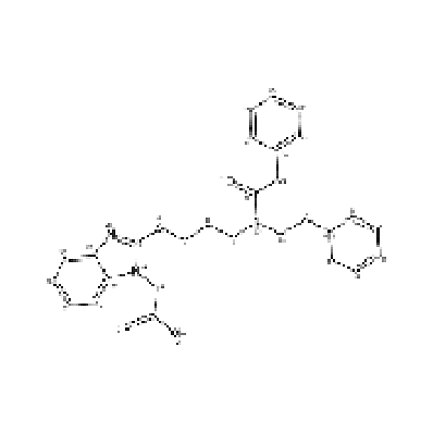 O=C(O)Cn1c(SCCCN(CCc2ccccc2)C(=O)Cc2ccccc2)nc2ccccc21